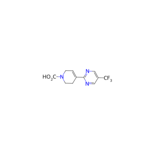 O=C(O)N1CC=C(c2ncc(C(F)(F)F)cn2)CC1